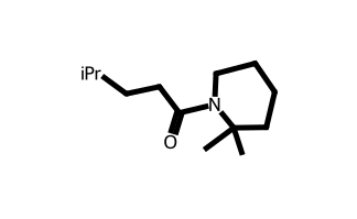 CC(C)CCC(=O)N1CCCCC1(C)C